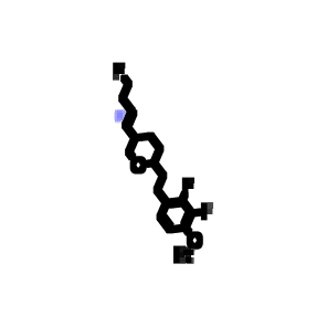 CCOc1ccc(CCC2CCC(/C=C/CCF)CO2)c(F)c1F